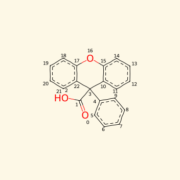 O=C(O)C1(c2ccccc2)c2ccccc2Oc2ccccc21